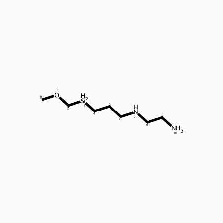 COC[SiH2]CCCNCCN